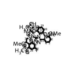 COc1cccc(-c2nnc(N(CC[Si](C)(C)C)S(=O)(=O)CC(OC)c3ccc(F)cc3S(C)(=O)=O)n2-c2c(OC)cccc2OC)n1